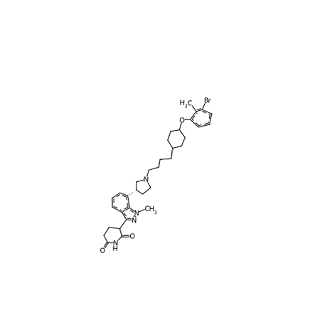 Cc1c(Br)cccc1OC1CCC(CCCCN2CC[C@H](c3cccc4c(C5CCC(=O)NC5=O)nn(C)c34)C2)CC1